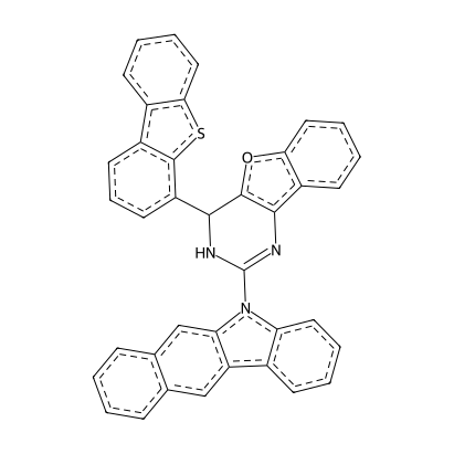 c1ccc2cc3c(cc2c1)c1ccccc1n3C1=Nc2c(oc3ccccc23)C(c2cccc3c2sc2ccccc23)N1